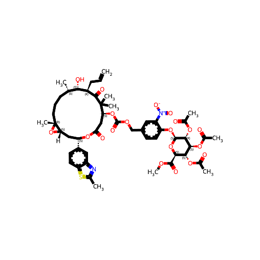 C=CC[C@H]1C(=O)C(C)(C)[C@@H](OC(=O)OCc2ccc(O[C@@H]3O[C@H](C(=O)OC)[C@@H](OC(C)=O)[C@H](OC(C)=O)[C@H]3OC(C)=O)c([N+](=O)[O-])c2)CC(=O)O[C@H](c2ccc3sc(C)nc3c2)C[C@@H]2O[C@]2(C)CCC[C@H](C)[C@@H]1O